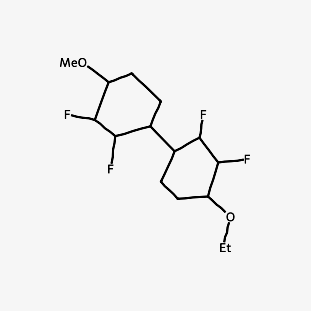 CCOC1CCC(C2CCC(OC)C(F)C2F)C(F)C1F